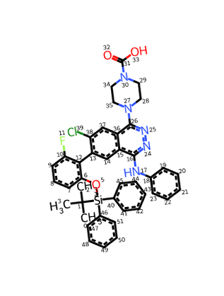 CC(C)(C)[Si](Oc1cccc(F)c1-c1cc2c(Nc3ccccc3)nnc(N3CCN(C(=O)O)CC3)c2cc1Cl)(c1ccccc1)c1ccccc1